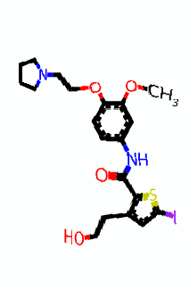 COc1cc(NC(=O)c2sc(I)cc2CCO)ccc1OCCN1CCCC1